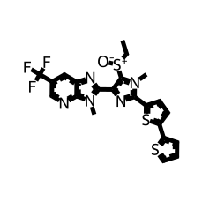 CC[S+]([O-])c1c(-c2nc3cc(C(F)(F)F)cnc3n2C)nc(-c2ccc(-c3cccs3)s2)n1C